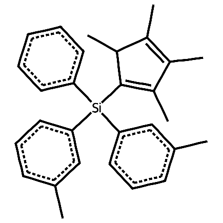 CC1=C(C)C(C)C([Si](c2ccccc2)(c2cccc(C)c2)c2cccc(C)c2)=C1C